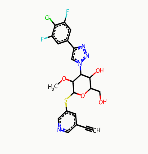 C#Cc1cncc(SC2OC(CO)C(O)C(n3cc(-c4cc(F)c(Cl)c(F)c4)nn3)C2OC)c1